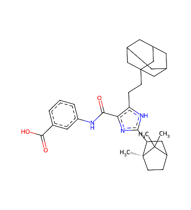 CC1(C)C2CC[C@@]1(C)C(c1nc(C(=O)Nc3cccc(C(=O)O)c3)c(CCC34CC5CC(CC(C5)C3)C4)[nH]1)C2